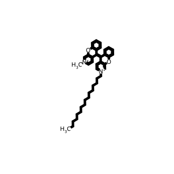 CCCCCCCCCCCCCCCC[n+]1ccc2c(c1)Oc1ccccc1/C2=C1\c2ccccc2Oc2c[n+](C)ccc21